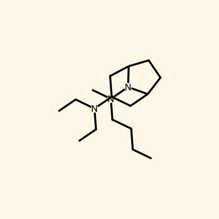 CCCCN(C)N1C2CCC1CC(N(CC)CC)C2